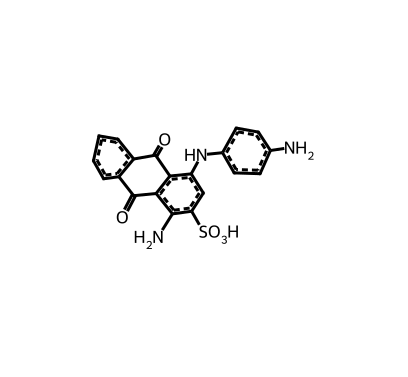 Nc1ccc(Nc2cc(S(=O)(=O)O)c(N)c3c2C(=O)c2ccccc2C3=O)cc1